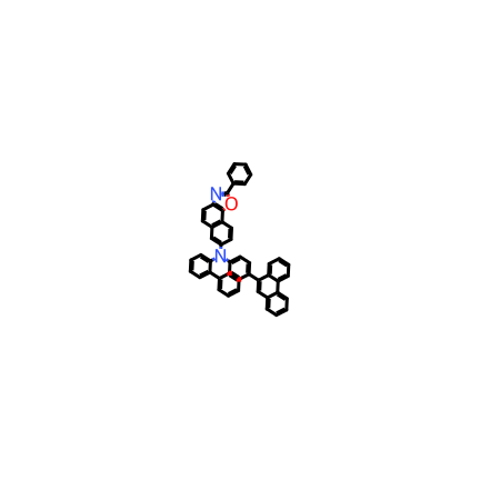 c1ccc(-c2nc3ccc4cc(N(c5ccc(-c6cc7ccccc7c7ccccc67)cc5)c5ccccc5-c5ccccc5)ccc4c3o2)cc1